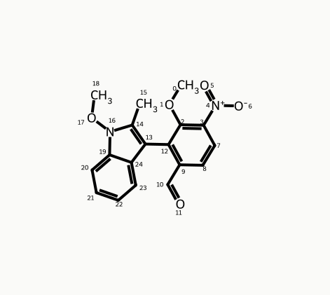 COc1c([N+](=O)[O-])ccc(C=O)c1-c1c(C)n(OC)c2ccccc12